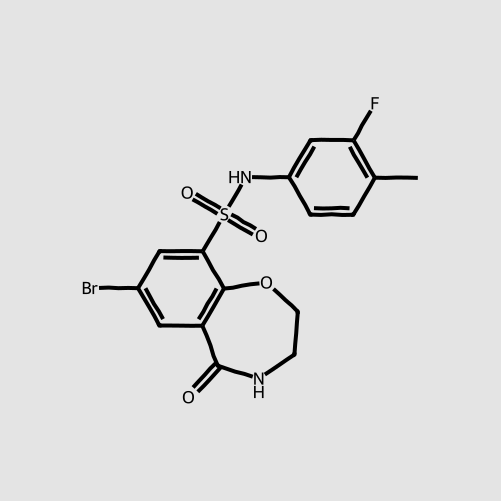 Cc1ccc(NS(=O)(=O)c2cc(Br)cc3c2OCCNC3=O)cc1F